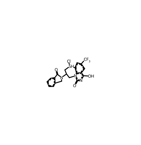 O=C1c2ccccc2CN1C1Cn2c(=O)nc(O)c3cc(C(F)(F)F)cc(c32)[SH](Cl)C1